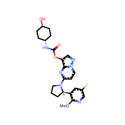 COc1ncc(F)cc1[C@H]1CCCN1c1ccn2ncc(OC(=O)N[C@H]3CC[C@H](O)CC3)c2n1